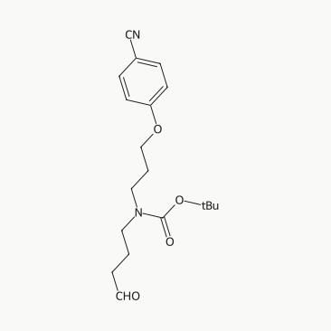 CC(C)(C)OC(=O)N(CCCC=O)CCCOc1ccc(C#N)cc1